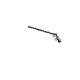 CCCCCCCCC=CCCCCCCCCCCCC(=O)N(C)CCOC(=O)c1ccco1